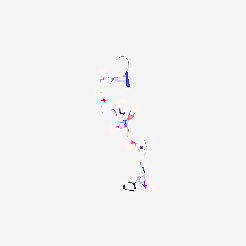 CCC(=O)N(c1ccccc1)C1CCN(CCc2ccc(NC(=O)CCSC3CC(=O)N(CCC(=O)NCCC(C)(C)OCCC(C)(C)C(=O)NC4CCCCCCCCCC4)C3=O)cc2)CC1